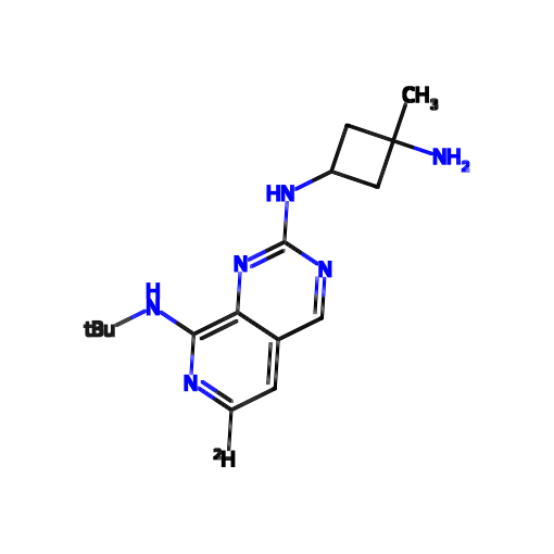 [2H]c1cc2cnc(NC3CC(C)(N)C3)nc2c(NC(C)(C)C)n1